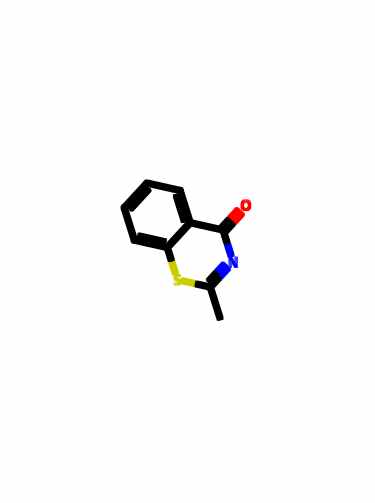 Cc1nc(=O)c2ccccc2s1